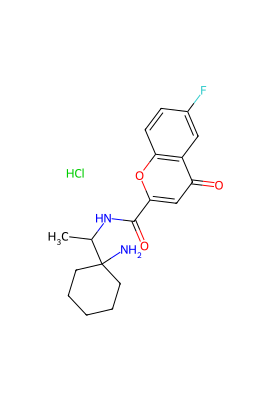 CC(NC(=O)c1cc(=O)c2cc(F)ccc2o1)C1(N)CCCCC1.Cl